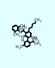 C=C(C)c1ccc(C)cc1-c1c(O)cc(CCCCC)c(C(=O)Nc2c(C)cccc2C)c1O